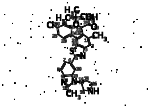 Cc1cc2nc(-c3ccc4nc(C)n([C@H]5CCNC5)c4c3)sc2c(-c2ccc(Cl)cc2)c1C(OC(C)(C)C)C(=O)O